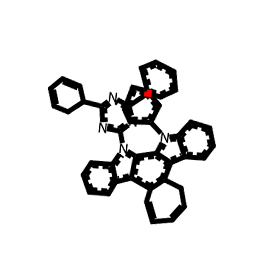 C1=CCc2c(c3c4ccccc4n(-c4nc(-c5ccccc5)nc(C5C=CC=CC5)n4)c3c3c2c2ccccc2n3-c2ccccc2)C=C1